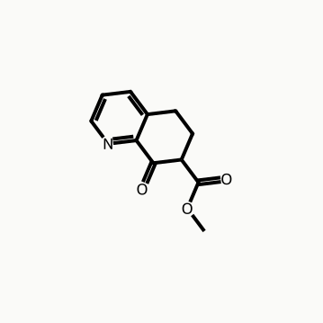 COC(=O)C1CCc2cccnc2C1=O